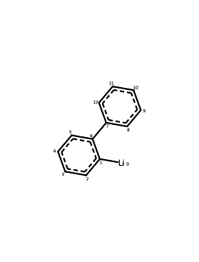 [Li][c]1ccccc1-c1ccccc1